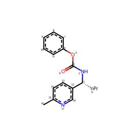 CCC[C@@H](NC(=O)Oc1ccccc1)c1ccc(C)nc1